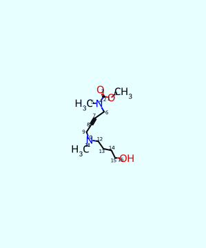 COC(=O)N(C)CC#CCN(C)CCCCO